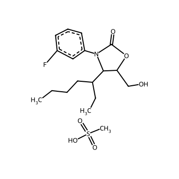 CCCCC(CC)C1C(CO)OC(=O)N1c1cccc(F)c1.CS(=O)(=O)O